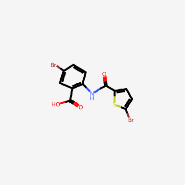 O=C(Nc1ccc(Br)cc1C(=O)O)c1ccc(Br)s1